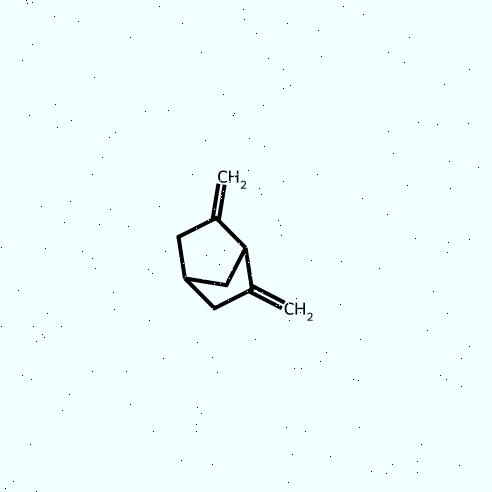 C=C1CC2CC(=C)C1C2